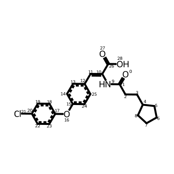 O=C(CCC1CCCC1)NC(=Cc1ccc(Oc2ccc(Cl)cc2)cc1)C(=O)O